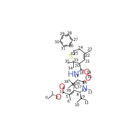 CCOC(=O)/C(C)=C/[C@H](C(C)C)N(C)C(=O)[C@@H](NC(=O)C1C=C(C)C[C@@H](c2ccccc2)SC1(C)C)C(C)(C)C